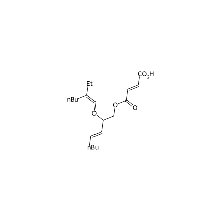 CCCCC=CC(COC(=O)C=CC(=O)O)OC=C(CC)CCCC